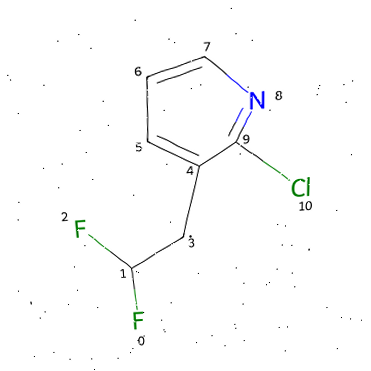 FC(F)[CH]c1cccnc1Cl